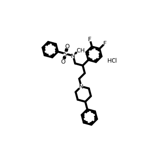 CN(CC(CCN1CCC(c2ccccc2)CC1)c1ccc(F)c(F)c1)S(=O)(=O)c1ccccc1.Cl